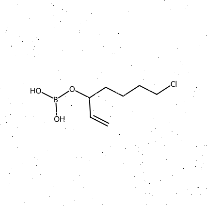 C=CC(CCCCCl)OB(O)O